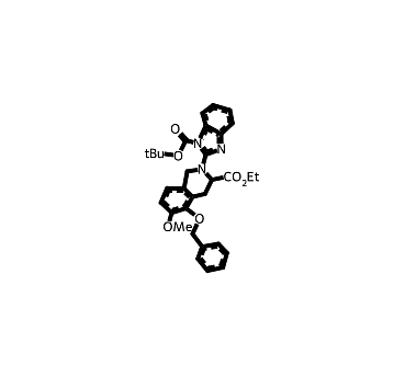 CCOC(=O)C1Cc2c(ccc(OC)c2OCc2ccccc2)CN1c1nc2ccccc2n1C(=O)OC(C)(C)C